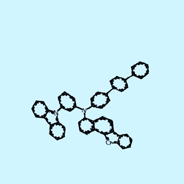 c1ccc(-c2ccc(-c3ccc(N(c4cccc(-n5c6ccccc6c6ccccc65)c4)c4cccc5c4ccc4c6ccccc6oc54)cc3)cc2)cc1